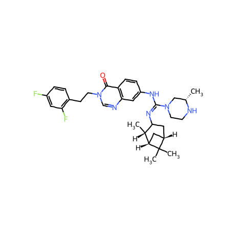 C[C@@H]1C(N=C(Nc2ccc3c(=O)n(CCc4ccc(F)cc4F)cnc3c2)N2CCN[C@@H](C)C2)C[C@H]2C[C@@H]1C2(C)C